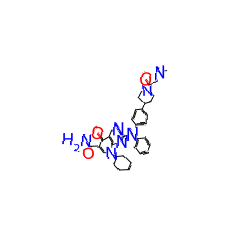 CN(C)CC(=O)N1CCC(c2ccc(N(c3ccccc3)c3ncc4c(=O)c(C(N)=O)cn(C5CCCCC5)c4n3)cc2)CC1